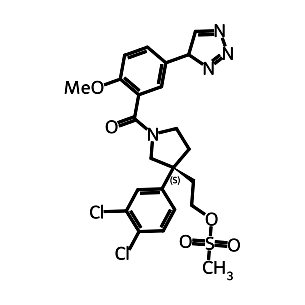 COc1ccc(C2C=NN=N2)cc1C(=O)N1CC[C@](CCOS(C)(=O)=O)(c2ccc(Cl)c(Cl)c2)C1